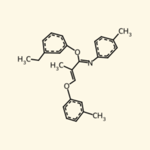 CCc1cccc(OC(=N\c2ccc(C)cc2)/C(C)=C/Oc2cccc(C)c2)c1